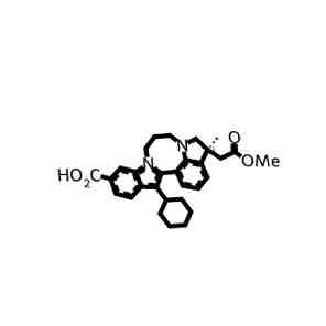 COC(=O)C[C@]1(C)CN2CCCn3c(c(C4CCCCC4)c4ccc(C(=O)O)cc43)-c3cccc1c32